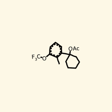 CC(=O)OC1(c2cccc(OC(F)(F)F)c2C)CCCCC1